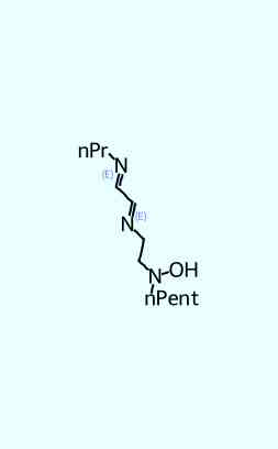 CCCCCN(O)CC/N=C/C=N/CCC